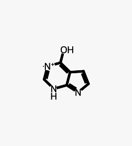 OC1=C2C=CN=C2NC=[N+]1